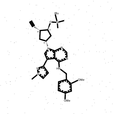 C#C[C@H]1C[C@@H](n2cc(-c3ccn(C)n3)c3c(NCc4ccc(OC)cc4OC)ncnc32)C[C@@H]1O[Si](C)(C)C(C)(C)C